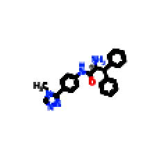 Cn1cnnc1-c1ccc(NC(=O)[C@@H](N)C(c2ccccc2)c2ccccc2)cc1